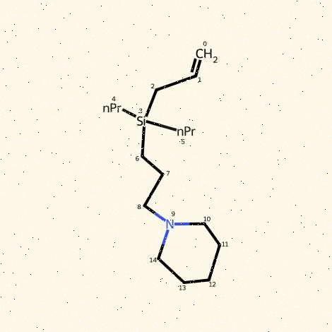 C=CC[Si](CCC)(CCC)CCCN1CCCCC1